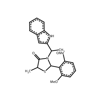 COc1cccc(OC)c1C1SC(C)C(=O)N1C(C)c1cc2ccccc2[nH]1